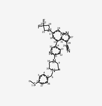 CSc1ccc(CN2CCN(c3ccc(-c4cc(N5CC(F)(F)C5)cn5ncc(C#N)c45)cn3)CC2)cc1